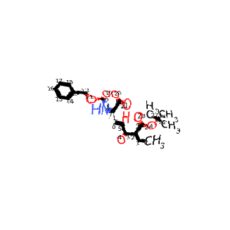 CCC(C(=O)CC[C@H](NC(=O)OCc1ccccc1)C(=O)O)C(=O)OC(C)(C)C